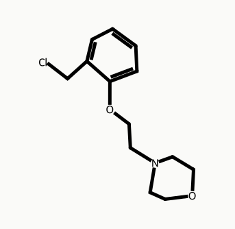 ClCc1ccccc1OCCN1CCOCC1